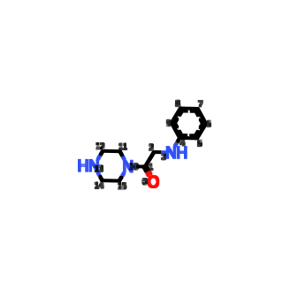 O=C(CNc1ccccc1)N1CCNCC1